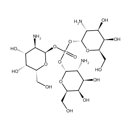 N[C@H]1[C@@H](OP(=O)(O[C@H]2O[C@H](CO)[C@H](O)[C@H](O)[C@H]2N)O[C@H]2O[C@H](CO)[C@H](O)[C@H](O)[C@H]2N)O[C@H](CO)[C@H](O)[C@@H]1O